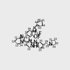 FC(F)(F)Oc1cc(-c2nc3ccccn3c2-c2ccnc(Nc3cccc(CCN4CCCC4)c3)n2)ccc1OCc1ccccc1